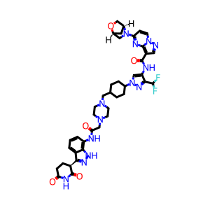 O=C1CC[C@@H](c2n[nH]c3c(NC(=O)CN4CCN(CC5CCC(n6cc(NC(=O)c7cnn8ccc(N9C[C@@H]%10C[C@H]9CO%10)nc78)c(C(F)F)n6)CC5)CC4)cccc23)C(=O)N1